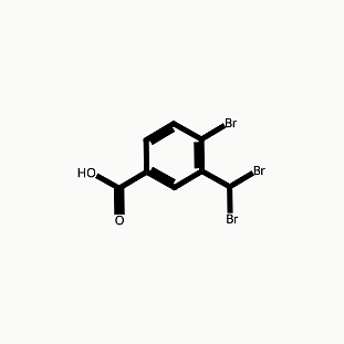 O=C(O)c1ccc(Br)c(C(Br)Br)c1